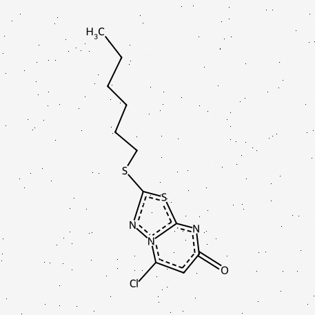 CCCCCCSc1nn2c(Cl)cc(=O)nc2s1